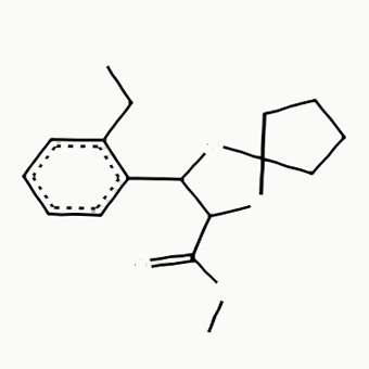 CCc1ccccc1C1OC2(CCCC2)OC1C(=O)OC